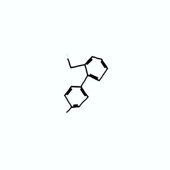 CC(C)Cc1ccccc1-c1ccc(F)cc1